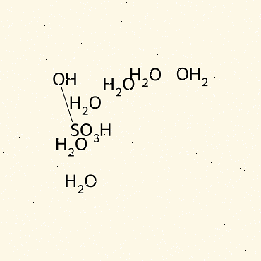 O.O.O.O.O.O.O=S(=O)(O)O